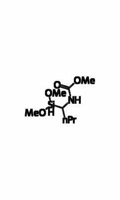 CCCC(NC(=O)OC)[SiH](OC)OC